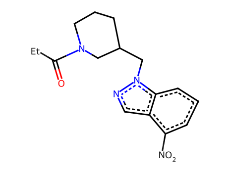 CCC(=O)N1CCCC(Cn2ncc3c([N+](=O)[O-])cccc32)C1